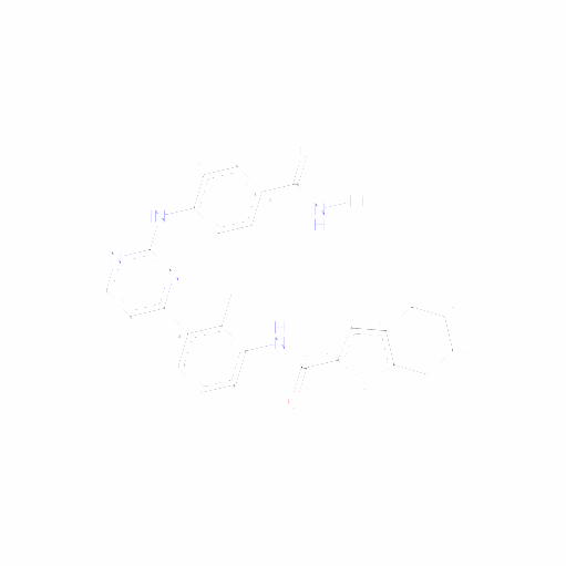 CCNC(=O)c1ccc(Nc2nccc(-c3cccc(NC(=O)c4cc5c(s4)CCCC5)c3C)n2)cc1